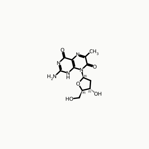 Cc1nc2c(=O)nc(N)[nH]c2n([C@H]2C[C@H](O)[C@@H](CO)O2)c1=O